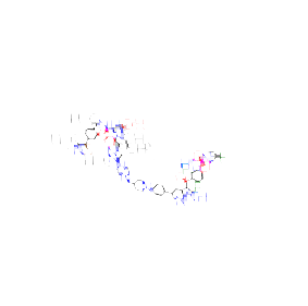 Cc1ncsc1-c1ccc([C@H](C)NC(=O)[C@@H]2C[C@@H](O)CN2C(=O)[C@@H](c2cc(N3CCN(CC4CCN(c5ccc(-c6cnc7[nH]cc(C(=O)c8c(F)ccc(NS(=O)(=O)N9CC[C@@H](F)C9)c8F)c7c6)cc5)CC4)CC3)n(C)n2)C(C)C)cc1